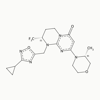 C[C@@H]1COCCN1c1cc(=O)n2c(n1)N(Cc1nc(C3CC3)no1)[C@H](C(F)(F)F)CC2